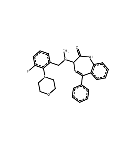 CN(Cc1cccc(F)c1N1CCOCC1)C1N=C(c2ccccc2)c2ccccc2NC1=O